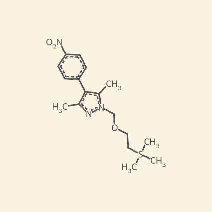 Cc1nn(COCCS(C)(C)C)c(C)c1-c1ccc([N+](=O)[O-])cc1